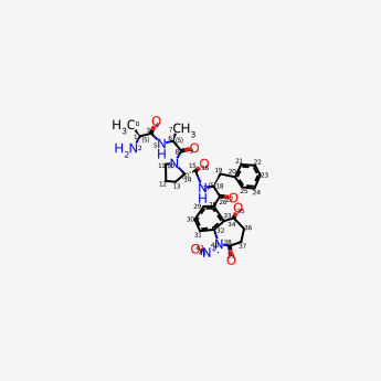 C[C@H](N)C(=O)N[C@@H](C)C(=O)N1CCC[C@H]1C(=O)N[C@@H](Cc1ccccc1)C(=O)c1cccc2c1C(=O)CCC(=O)N2[N+]=O